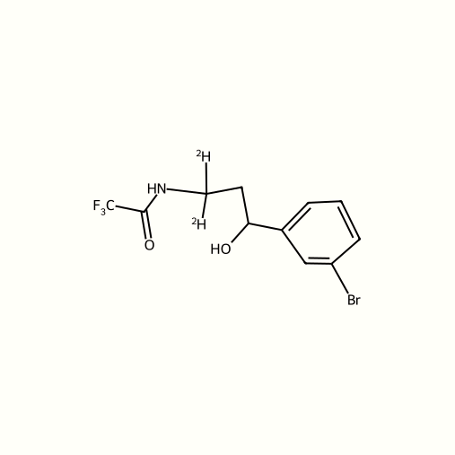 [2H]C([2H])(CC(O)c1cccc(Br)c1)NC(=O)C(F)(F)F